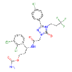 NC(=O)OCCC(NC(=O)Cn1nc(-c2ccc(Cl)cc2)n(CCC(F)(F)F)c1=O)c1cccc(Cl)c1Cl